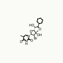 Cc1cn([C@@H]2O[C@H](C(O)C(=O)c3ccccc3)[C@](C)(O)[C@H]2Br)c(=O)[nH]c1=O